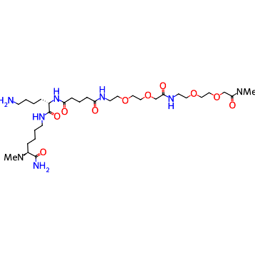 CNC(=O)COCCOCCNC(=O)COCCOCCNC(=O)CCCC(=O)N[C@@H](CCCCN)C(=O)NCCCC[C@H](NC)C(N)=O